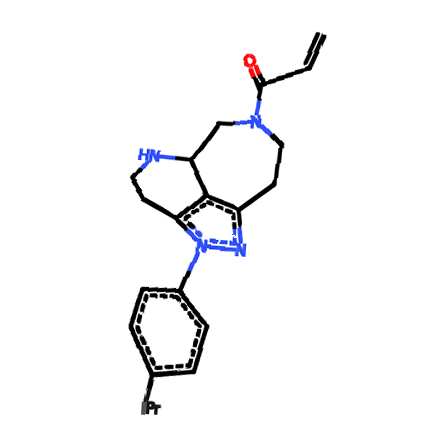 C=CC(=O)N1CCc2nn(-c3ccc(C(C)C)cc3)c3c2C(C1)NCC3